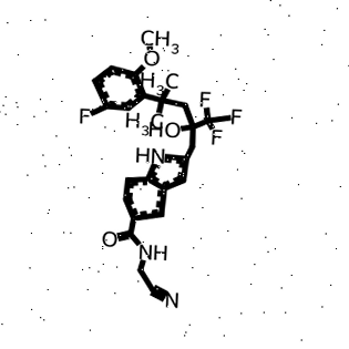 COc1ccc(F)cc1C(C)(C)CC(O)(Cc1cc2cc(C(=O)NCC#N)ccc2[nH]1)C(F)(F)F